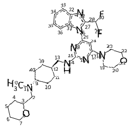 CN(CC1CCCCO1)[C@H]1CC[C@H](CNc2nc(N3CCOCC3)cc(-n3c(C(F)F)nc4ccccc43)n2)CC1